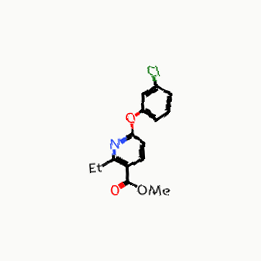 CCc1nc(Oc2cccc(Cl)c2)ccc1C(=O)OC